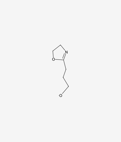 [O]CCCC1=NCCO1